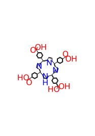 O=C(O)c1ccc(C2=C3C=CC(=N3)C(c3ccc(C(=O)O)cc3)=C3C=CC(=N3)C(=c3ccc(=C(O)O)cc3)c3ccc([nH]3)C(c3ccc(C(=O)O)cc3)=C3C=CC2=N3)cc1